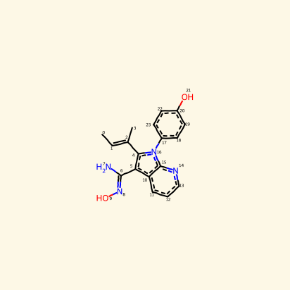 CC=C(C)c1c(C(N)=NO)c2cccnc2n1-c1ccc(O)cc1